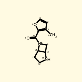 Cc1ccoc1C(=O)N1CC2NCCC21